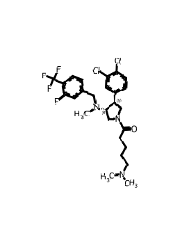 CN(C)CCCCC(=O)N1C[C@H](c2ccc(Cl)c(Cl)c2)[C@@H](N(C)Cc2ccc(C(F)(F)F)c(F)c2)C1